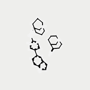 O=C1CCN2CCCC1C2.c1cc2cc(-c3cnc(O[C@H]4CCN5CCC[C@@H]4C5)nc3)ccc2[nH]1